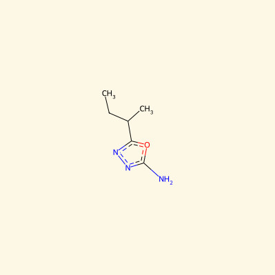 CCC(C)c1nnc(N)o1